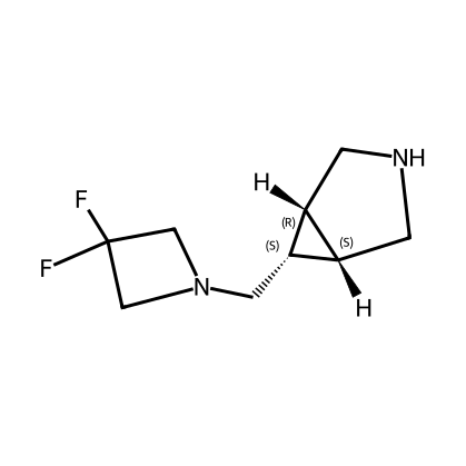 FC1(F)CN(C[C@@H]2[C@@H]3CNC[C@@H]32)C1